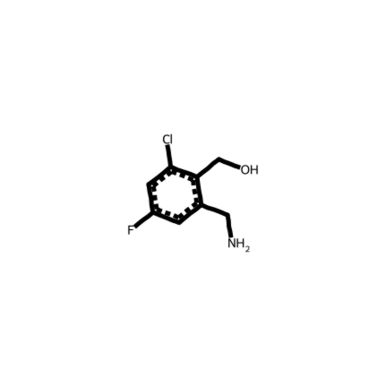 NCc1cc(F)cc(Cl)c1CO